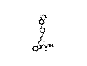 NC(=O)Nc1cc2ccccc2n1CCCCN1CCN(c2ccc3c(c2)OCCO3)CC1